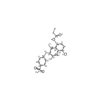 CCC(=O)Oc1ccc(Cl)c2nc(C)c(Cc3ccc(S(C)(=O)=O)cc3)c(C)c12